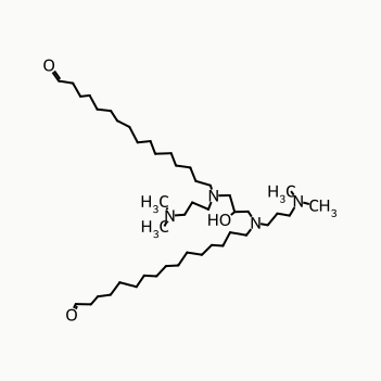 CN(C)CCCN(CCCCCCCCCCCCCCCC=O)CC(O)CN(CCCCCCCCCCCCCCCC=O)CCCN(C)C